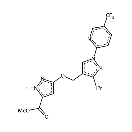 COC(=O)c1cc(OCc2cn(-c3ccc(C(F)(F)F)cn3)nc2C(C)C)nn1C